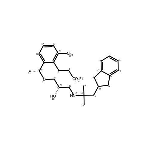 CCOC(=O)CCc1c([C@@H](C)OC[C@@H](O)CNC(C)(C)CC2Cc3ccccc3C2)cccc1C(F)(F)F